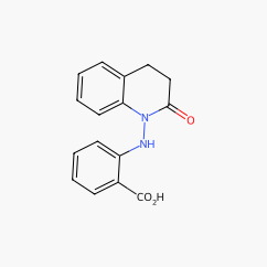 O=C(O)c1ccccc1NN1C(=O)CCc2ccccc21